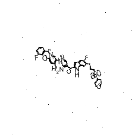 Cc1cc(Oc2c(F)cccc2F)ncc1-n1ncc(C(=O)c2cc3cc(F)c(CCCS(=O)(=O)C4CCOCC4)cc3[nH]2)c1N